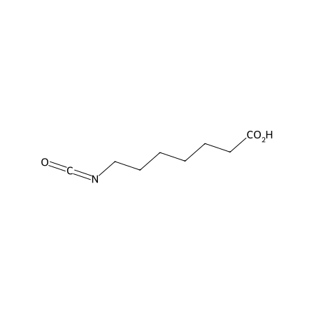 O=C=NCCCCCCC(=O)O